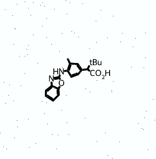 Cc1cc(C(C(=O)O)C(C)(C)C)ccc1Nc1nc2ccccc2o1